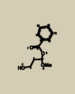 COC(CCO)OC(=O)c1ccccc1